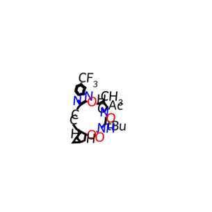 CC(=O)[C@@H]1[C@H](C)[C@@H]2CN1C(=O)[C@H](C(C)(C)C)NC(=O)O[C@@H]1CC3CC3[C@H]1CCCCCc1nc3ccc(C(F)(F)F)cc3nc1O2